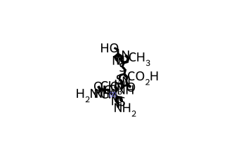 Cc1cc(SCC2=C(C(=O)O)N3C(=O)C(NC(=O)/C(=N\OC(C)(C)C(=O)NN)c4csc(N)n4)[C@H]3SC2)n2ncc(CO)c2n1